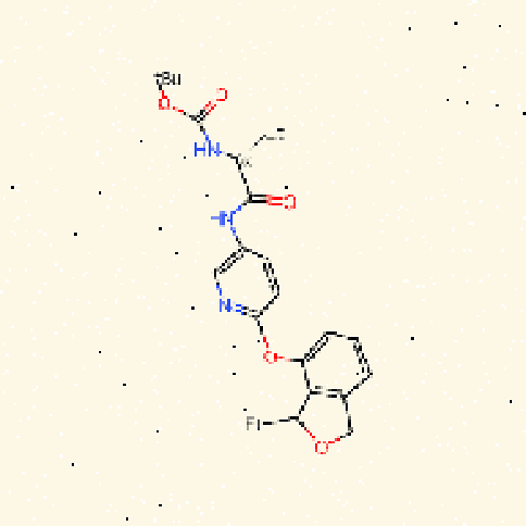 CCC1OCc2cccc(Oc3ccc(NC(=O)[C@@H](CC)NC(=O)OC(C)(C)C)cn3)c21